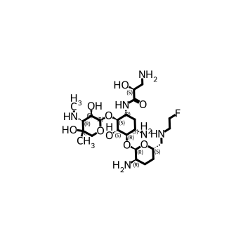 CN[C@@H]1[C@@H](O)[C@@H](O[C@@H]2[C@@H](O)[C@H](O[C@H]3O[C@H](CNCCF)CC[C@H]3N)[C@@H](N)C[C@H]2NC(=O)[C@@H](O)CN)OC[C@]1(C)O